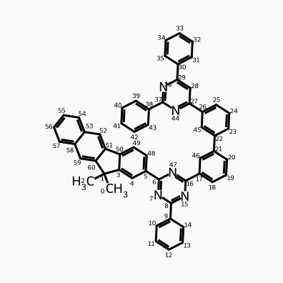 CC1(C)c2cc(-c3nc(-c4ccccc4)nc(-c4cccc(-c5cccc(-c6cc(-c7ccccc7)nc(-c7ccccc7)n6)c5)c4)n3)ccc2-c2cc3ccccc3cc21